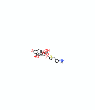 CC(C)(C)Nc1cccc(Cc2ccc([C@@H]3O[C@@H]4C[C@H]5[C@@H]6CCC7=CC(=O)C=C[C@]7(C)[C@H]6[C@@H](O)C[C@]5(C)[C@]4(C(=O)CO)O3)s2)c1